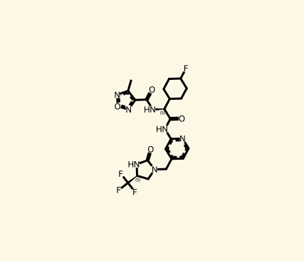 Cc1nonc1C(=O)N[C@H](C(=O)Nc1cc(CN2C[C@@H](C(F)(F)F)NC2=O)ccn1)C1CCC(F)CC1